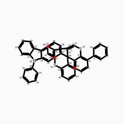 c1ccc(-c2cccc3c2Sc2cccc(-c4ccc5c(c4)c4ccccc4n5-c4ccccc4)c2C32c3ccccc3Sc3ccccc32)cc1